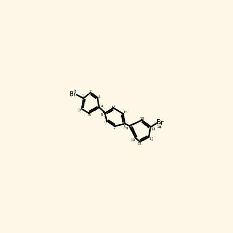 Brc1ccc(-c2ccc(-c3cccc(Br)c3)cc2)cc1